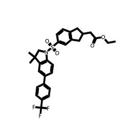 CCOC(=O)CC1Cc2ccc(S(=O)(=O)N3CC(C)(C)c4cc(-c5ccc(C(F)(F)F)cc5)ccc43)cc2C1